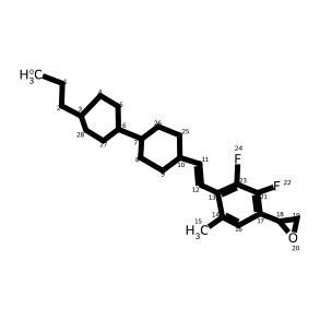 CCCC1CCC(C2CCC(/C=C/c3c(C)cc(C4CO4)c(F)c3F)CC2)CC1